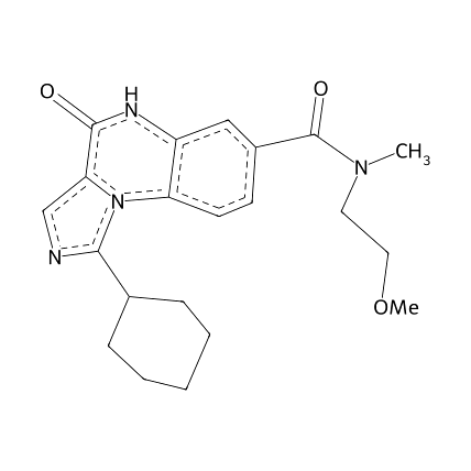 COCCN(C)C(=O)c1ccc2c(c1)[nH]c(=O)c1cnc(C3CCCCC3)n12